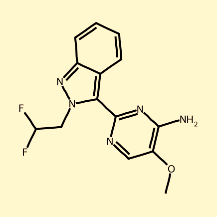 COc1cnc(-c2c3ccccc3nn2CC(F)F)nc1N